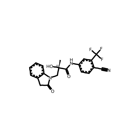 C[C@](O)(CN1C(=O)Cc2ccccc21)C(=O)Nc1ccc(C#N)c(C(F)(F)F)c1